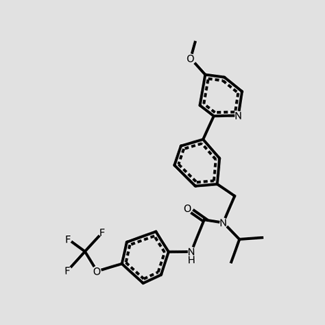 COc1ccnc(-c2cccc(CN(C(=O)Nc3ccc(OC(F)(F)F)cc3)C(C)C)c2)c1